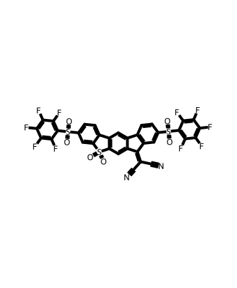 N#CC(C#N)=C1c2cc(S(=O)(=O)c3c(F)c(F)c(F)c(F)c3F)ccc2-c2cc3c(cc21)S(=O)(=O)c1cc(S(=O)(=O)c2c(F)c(F)c(F)c(F)c2F)ccc1-3